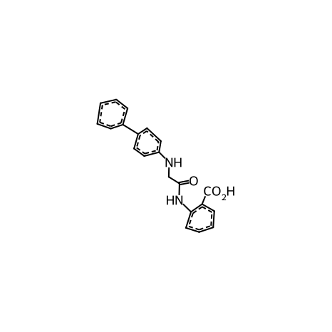 O=C(CNc1ccc(-c2ccccc2)cc1)Nc1ccccc1C(=O)O